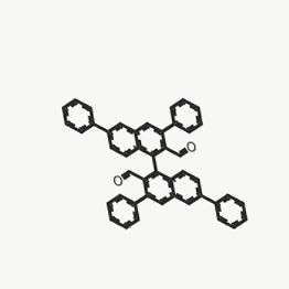 O=Cc1c(-c2ccccc2)cc2cc(-c3ccccc3)ccc2c1-c1c(C=O)c(-c2ccccc2)cc2cc(-c3ccccc3)ccc12